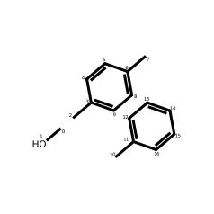 CO.Cc1ccc(C)cc1.Cc1ccccc1